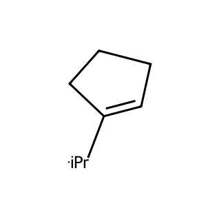 C[C](C)C1=CCCC1